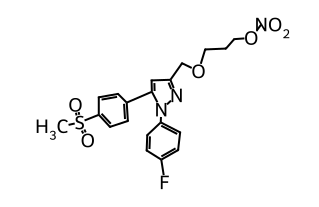 CS(=O)(=O)c1ccc(-c2cc(COCCCO[N+](=O)[O-])nn2-c2ccc(F)cc2)cc1